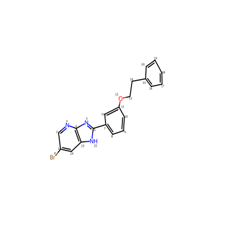 Brc1cnc2nc(-c3cccc(OCCc4ccccc4)c3)[nH]c2c1